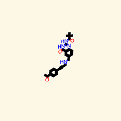 CC(=O)c1ccc(C#CCNCc2ccc3nc(NC(=O)C(C)(C)C)[nH]c(=O)c3c2)cc1